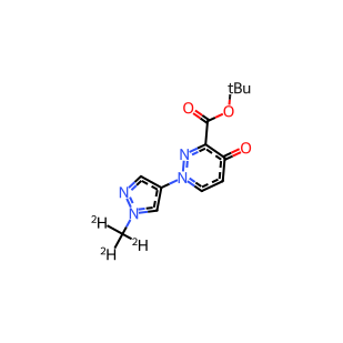 [2H]C([2H])([2H])n1cc(-n2ccc(=O)c(C(=O)OC(C)(C)C)n2)cn1